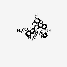 COc1cc(C(=O)[C@H]2C(=O)c3cc(Nc4ccnn4C)ccc3OC23CCNCC3)nc2c(OC)cccc12